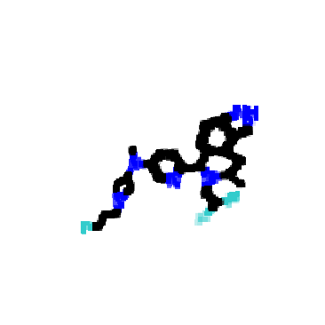 C[C@@H]1Cc2c(ccc3[nH]ncc23)C(c2ccc(N(C)C3CN(CCCF)C3)cn2)N1CC(F)F